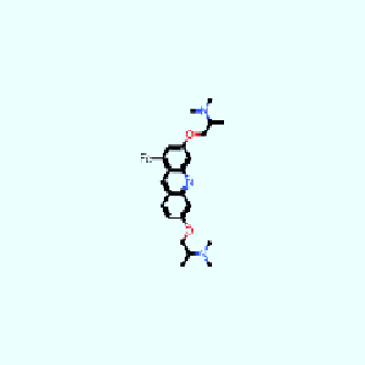 CC(COc1ccc2cc3[c]([Fe])cc(OCC(C)N(C)C)cc3nc2c1)N(C)C